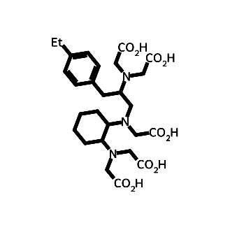 CCc1ccc(CC(CN(CC(=O)O)C2CCCCC2N(CC(=O)O)CC(=O)O)N(CC(=O)O)CC(=O)O)cc1